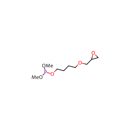 COP(OC)OCCCCOCC1CO1